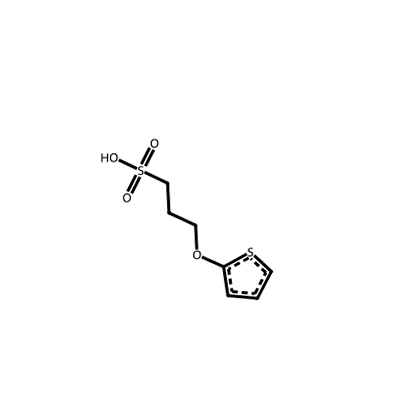 O=S(=O)(O)CCCOc1cccs1